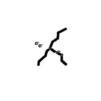 CCCC[N](CCCC)[Ti+2][O]CC.[Cl-].[Cl-]